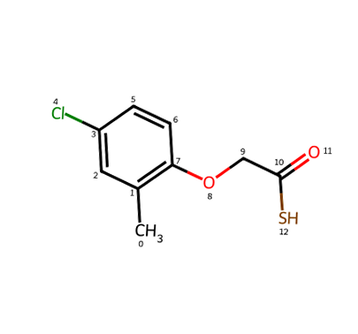 Cc1cc(Cl)ccc1OCC(=O)S